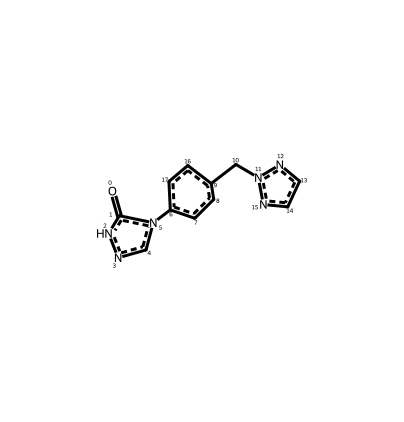 O=c1[nH]ncn1-c1ccc(Cn2nccn2)cc1